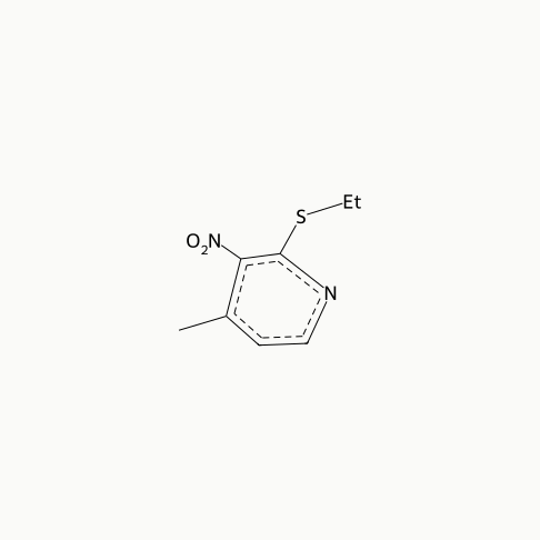 CCSc1nccc(C)c1[N+](=O)[O-]